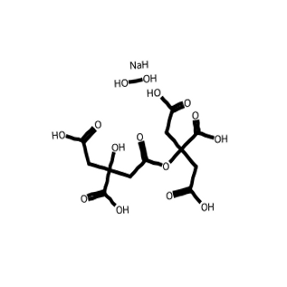 O=C(O)CC(O)(CC(=O)OC(CC(=O)O)(CC(=O)O)C(=O)O)C(=O)O.OO.[NaH]